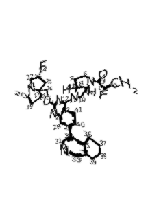 C=C(F)C(=O)N1CC[C@@H]2[C@H]1CN2c1nc(OC[C@@]23CCCN2C[C@H](F)C3)nc2cc(-c3cncc4c3CCCC4)ccc12